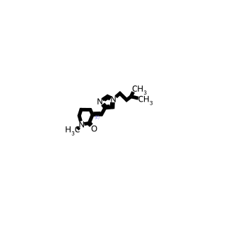 CC(C)CCn1cnc(/C=C2\CCCN(C)C2=O)c1